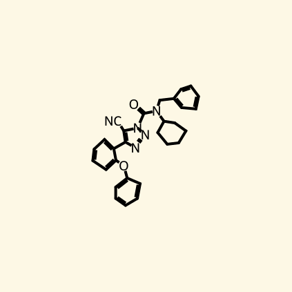 N#Cc1c(-c2ccccc2Oc2ccccc2)nnn1C(=O)N(Cc1ccccc1)C1CCCCC1